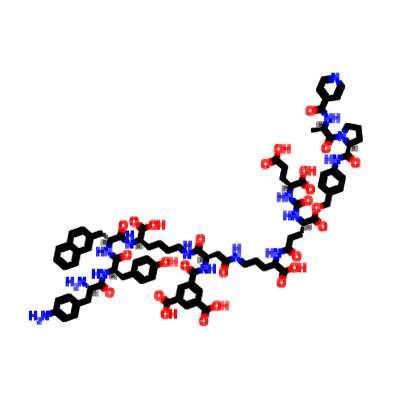 C[C@@H](NC(=O)c1ccncc1)C(=O)N1CCC[C@H]1C(=O)Nc1ccc(COC(=O)[C@H](CCC(=O)NC(CCCNC(=O)C[C@@H](NC(=O)c2cc(C(=O)O)cc(C(=O)O)c2)C(=O)NCCCC[C@@H](NC(=O)[C@@H](Cc2ccc3ccccc3c2)NC(=O)[C@@H](Cc2ccc(O)cc2)NC(=O)[C@@H](N)Cc2ccc(N)cc2)C(=O)O)C(=O)O)NC(=O)N[C@@H](CCC(=O)O)C(=O)O)cc1